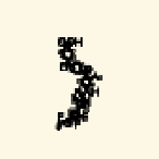 CCc1cc(Nc2nccn3c(-c4ccc(OC(F)F)c(F)c4F)cnc23)ccc1C(=O)N1CCN(C(=O)C2CCN(C(=O)O)CC2)CC1